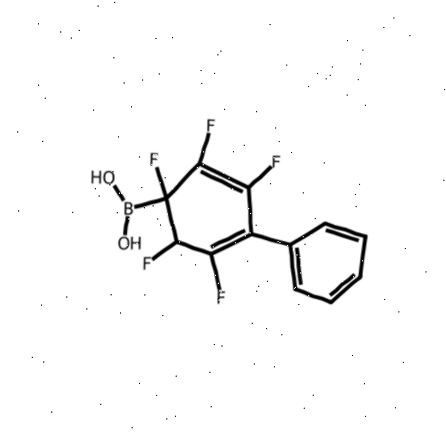 OB(O)C1(F)C(F)=C(F)C(c2ccccc2)=C(F)C1F